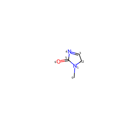 CN1[C]C=NC1=O